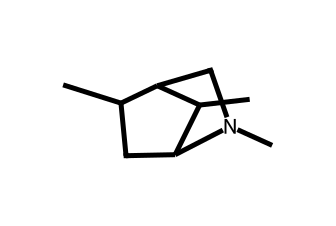 CC1CC2C(C)C1CN2C